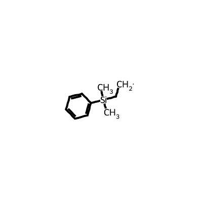 [CH2]C[Si](C)(C)c1ccccc1